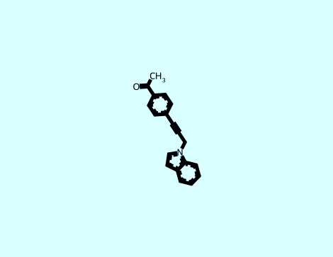 CC(=O)c1ccc(C#CCn2ccc3ccccc32)cc1